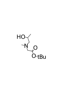 CC(O)CN(C)CC(=O)OC(C)(C)C